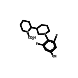 N#Cc1cc(F)c(N2CCCC(C3CCCCN3C(=O)O)C2)c(F)c1